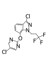 FC(F)(F)CCn1nc(Cl)c2cccc(Oc3ncc(Cl)cn3)c21